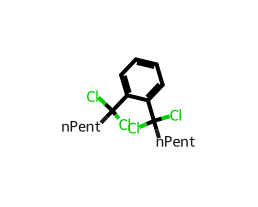 CCCCCC(Cl)(Cl)c1ccccc1C(Cl)(Cl)CCCCC